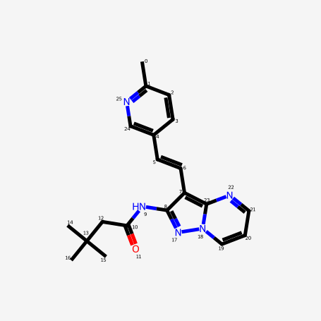 Cc1ccc(/C=C/c2c(NC(=O)CC(C)(C)C)nn3cccnc23)cn1